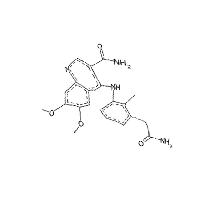 COc1cc2ncc(C(N)=O)c(Nc3cccc(CC(N)=O)c3C)c2cc1OC